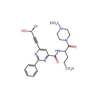 CCOC(=O)N1CCN(C(=O)C(CCC(=O)O)NC(=O)c2cc(C#C[C@@H](O)CC)nc(-c3ccccc3)n2)CC1